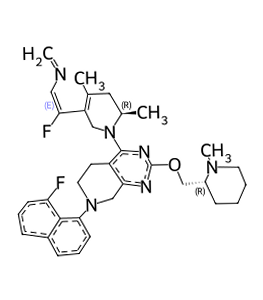 C=N/C=C(/F)C1=C(C)C[C@@H](C)N(c2nc(OC[C@H]3CCCCN3C)nc3c2CCN(c2cccc4cccc(F)c24)C3)C1